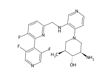 C[C@H]1CN(c2ccncc2NCc2ccc(F)c(-c3c(F)cncc3F)n2)C[C@@H](N)[C@@H]1O